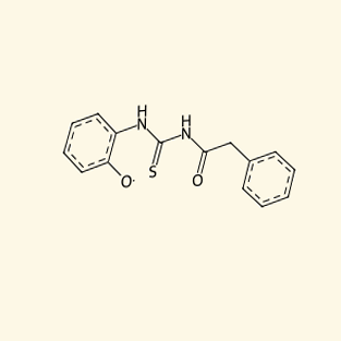 [O]c1ccccc1NC(=S)NC(=O)Cc1ccccc1